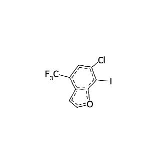 FC(F)(F)c1cc(Cl)c(I)c2occc12